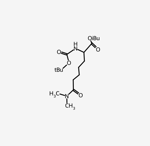 CC(C)COC(=O)C(CCCCC(=O)N(C)C)NC(=O)OC(C)(C)C